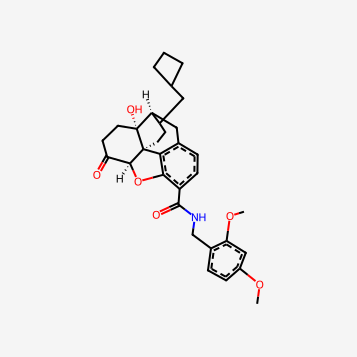 COc1ccc(CNC(=O)c2ccc3c4c2O[C@H]2C(=O)CC[C@@]5(O)[C@@H](C3)C(CC3CCC3)CC[C@]425)c(OC)c1